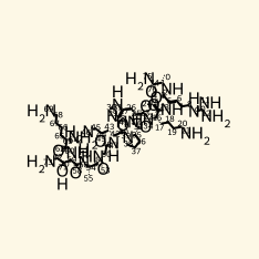 C[C@H](NC(=O)/C(=C/CCNC(=N)N)NC(=O)[C@H](CCCCN)NC(=O)[C@H](Cc1cnc[nH]1)NC(=O)[C@@H]1CCCN1C(=O)[C@@H](CCCN)NC(=O)CNC(=O)[C@H](C)NC(=O)[C@@H](NC(=O)[C@@H](N)CCCCN)[C@@H](O)CN)C(N)=O